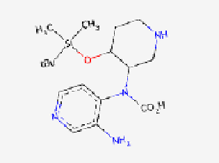 CC(C)(C)[Si](C)(C)OC1CCNCC1N(C(=O)O)c1ccncc1N